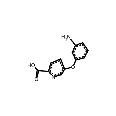 Nc1cccc(Oc2ccc(C(=O)O)nc2)c1